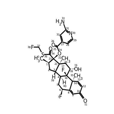 C[C@@H]1C[C@H]2[C@@H]3C[C@H](F)C4=CC(=O)C=C[C@]4(C)[C@@]3(F)[C@@H](O)C[C@]2(C)[C@@]1(OC(=O)c1ccnc(N)c1)C(=O)SCF